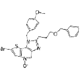 COc1ccc(Cn2c(CCCOCc3ccccc3)nc3c[n+]([O-])c4cc(Br)sc4c32)cc1